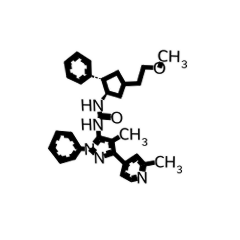 COCCC1C[C@@H](NC(=O)Nc2c(C)c(-c3ccnc(C)c3)nn2-c2ccccc2)[C@H](c2ccccc2)C1